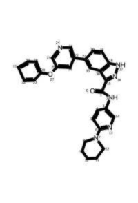 O=C(Nc1ccc(N2CCCCC2)nc1)c1n[nH]c2ccc(-c3cncc(Oc4ccccc4)c3)cc12